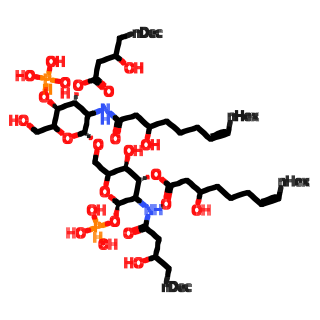 CCCCCC/C=C\CCCC(O)CC(=O)NC1[C@H](OCC2O[C@H](O[PH](O)(O)O)C(NC(=O)CC(O)CCCCCCCCCCC)[C@@H](OC(=O)CC(O)CCC/C=C\CCCCCC)[C@@H]2O)OC(CO)[C@@H](O[PH](O)(O)O)[C@@H]1OC(=O)CC(O)CCCCCCCCCCC